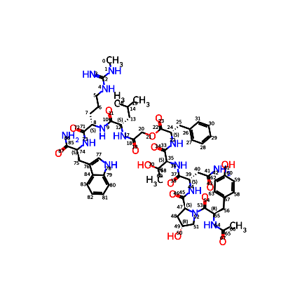 CNC(=N)NCCC[C@H](NC(=O)[C@H](CC(C)C)NC(=O)COC(=O)[C@H](Cc1ccccc1)NC(=O)[C@@H](NC(=O)[C@H](CC(N)=O)NC(=O)[C@@H]1C[C@@H](O)CN1C(=O)[C@@H](Cc1ccc(O)cc1)NC(C)=O)[C@@H](C)O)C(=O)N[C@@H](Cc1c[nH]c2ccccc12)C(N)=O